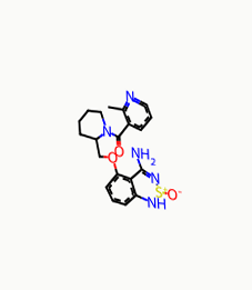 Cc1ncccc1C(=O)N1CCCCC1COc1cccc2c1C(N)=N[S+]([O-])N2